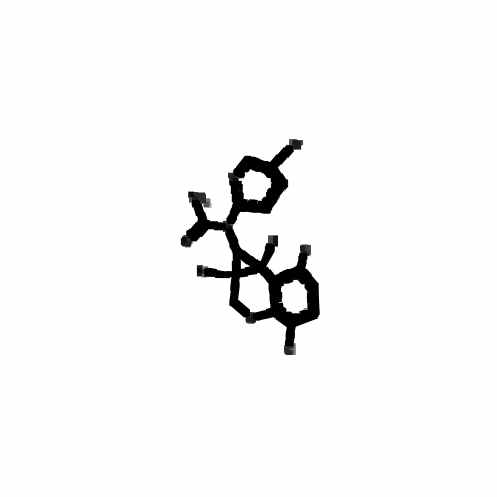 NC(=O)N(c1ccc(Br)cn1)C1[C@H]2COc3c(Cl)ccc(Cl)c3[C@@H]12